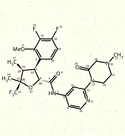 COc1c([C@H]2[C@H](C(=O)Nc3ccnc(N4CCN(C)CC4=O)c3)O[C@@](C)(C(F)(F)F)[C@H]2C)ccc(F)c1F